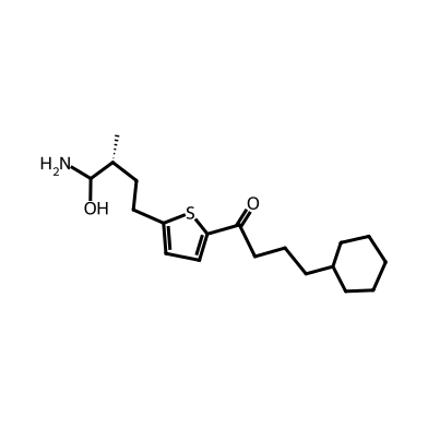 C[C@H](CCc1ccc(C(=O)CCCC2CCCCC2)s1)C(N)O